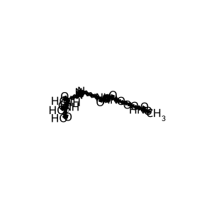 COCC(=O)NCCOCCOCCOCCNC(=O)c1ccc(C(=O)NCCCCCCc2cn(CCCC[C@H](NC(=O)N[C@@H](CCC(=O)O)C(=O)O)C(=O)O)nn2)cc1